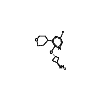 N[C@H]1C[C@H](Oc2ncc(F)cc2C2CCOCC2)C1